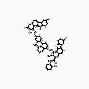 CCc1ccccc1NC(=O)c1cc2ccc3c4cc(Cl)ccc4[nH]c3c2c(N=Nc2ccc3c4c(cccc24)C(=O)c2cc(N=Nc4c(O)c(C=O)cc5ccc6c7cc(Cl)ccc7[nH]c6c45)ccc2-3)c1O